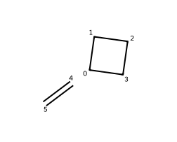 C1CCC1.C=C